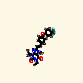 CCn1c(=O)c2c(nc(C=Cc3ccc(OC4CCC(F)(F)CC4)cc3)n2C)n(CC)c1=O